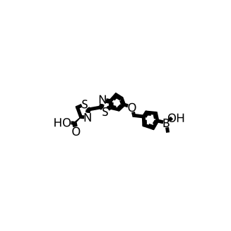 CB(O)c1ccc(COc2ccc3nc(C4=N[C@@H](C(=O)O)CS4)sc3c2)cc1